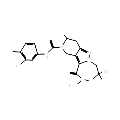 CC1Cc2nn3c(c2CN1C(=O)Nc1ccc(F)c(C#N)c1)C(=O)N(C)OC(C)(C)C3